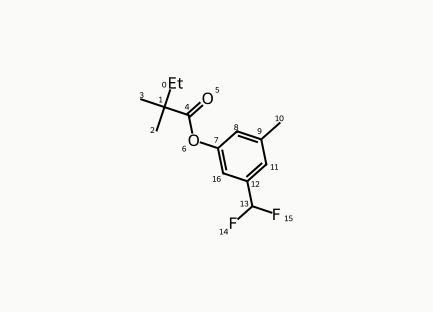 CCC(C)(C)C(=O)Oc1cc(C)cc(C(F)F)c1